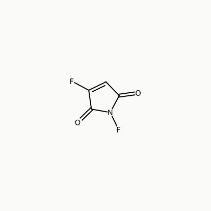 O=C1C=C(F)C(=O)N1F